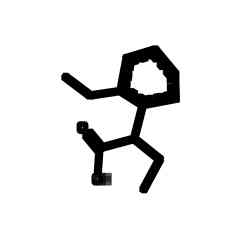 CCc1ccccc1C(CC)C(=O)O